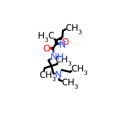 CCCN(CC)CC(CC)(CC)CNC(=O)c1noc(CC)c1C